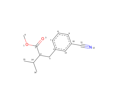 COC(=O)C(Cc1cccc(C#N)c1)C(C)C